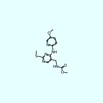 COC(=O)NCc1cnc(SC)nc1Nc1ccc(OC)cn1